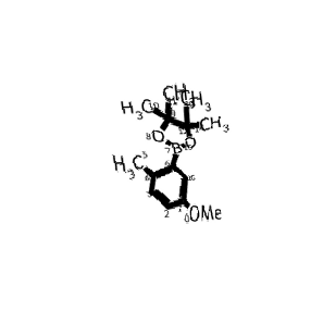 COc1ccc(C)c(B2OC(C)(C)C(C)(C)O2)c1